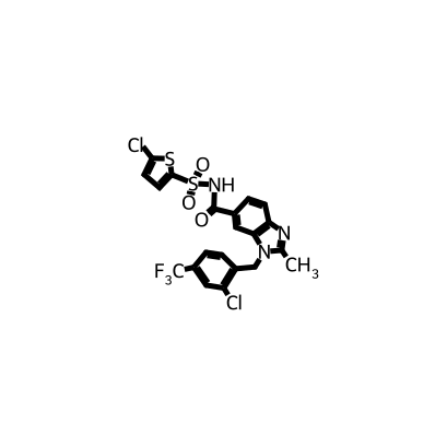 Cc1nc2ccc(C(=O)NS(=O)(=O)c3ccc(Cl)s3)cc2n1Cc1ccc(C(F)(F)F)cc1Cl